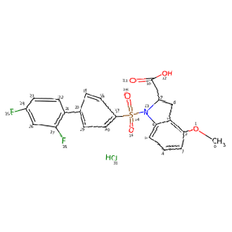 COc1cccc2c1CC(C(=O)O)N2S(=O)(=O)c1ccc(-c2ccc(F)cc2F)cc1.Cl